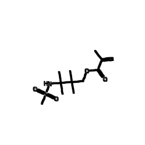 C=C(C)C(=O)OCC(C)(C)C(C)(C)NS(C)(=O)=O